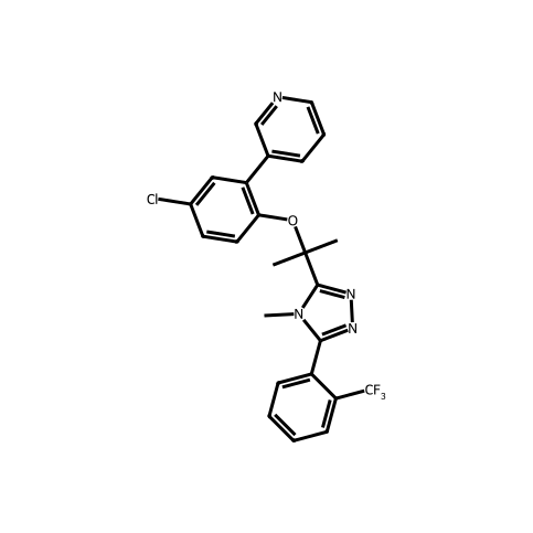 Cn1c(-c2ccccc2C(F)(F)F)nnc1C(C)(C)Oc1ccc(Cl)cc1-c1cccnc1